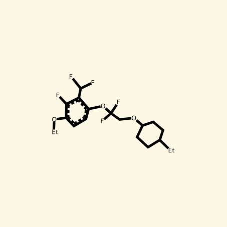 CCOc1ccc(OC(F)(F)COC2CCC(CC)CC2)c(C(F)F)c1F